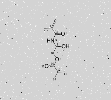 C=C(C)C(=O)NC(O)COC(=O)C(=C)C